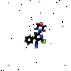 N#Cc1c(-c2ccccc2)cc(N2CCOCC2)nc1Cl